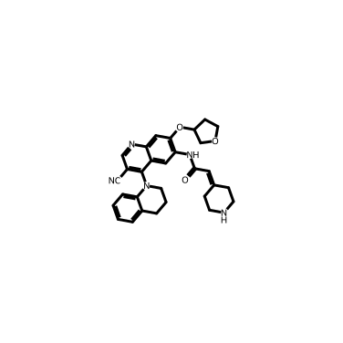 N#Cc1cnc2cc(OC3CCOC3)c(NC(=O)C=C3CCNCC3)cc2c1N1CCCc2ccccc21